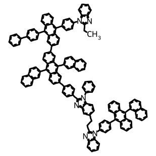 CCc1nc2ccccc2n1-c1ccc(-c2c3ccccc3c(-c3ccc(-c4ccccc4)cc3)c3cc(-c4ccc5c(-c6ccc7ccccc7c6)c6ccc(-c7ccc(-c8nc9cc(CCc%10nc%11ccccc%11n%10-c%10ccc(-c%11c%12ccccc%12c(-c%12cccc%13ccccc%12%13)c%12ccccc%11%12)cc%10)ccc9n8-c8ccccc8)cc7)cc6c(-c6ccc7ccccc7c6)c5c4)ccc23)cc1